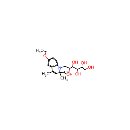 CCOc1ccc2c(c1)C(C)=CC(C)(C)N2C[C@H](O)[C@@H](O)[C@H](O)[C@H](O)CO